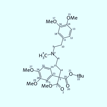 COC(=O)C(CCCN(C)CCc1ccc(OC)c(OC)c1)(C(=O)OC(C)(C)C)c1ccc(OC)c(OC)c1